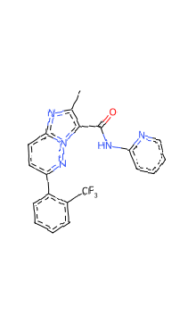 Cc1nc2ccc(-c3ccccc3C(F)(F)F)nn2c1C(=O)Nc1ccccn1